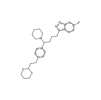 Fc1ccc2c(CCCC(c3ccc(CCC4SCCCS4)cc3)N3CCCCC3)noc2c1